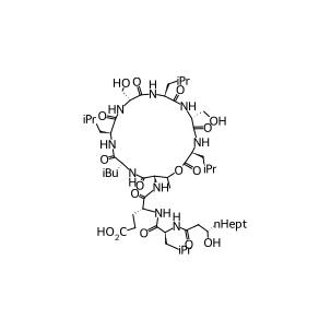 CCCCCCC[C@H](O)CC(=O)N[C@@H](CC(C)C)C(=O)N[C@H](CCC(=O)O)C(=O)N[C@H]1C(=O)N[C@H](C(C)CC)C(=O)N[C@@H](CC(C)C)C(=O)N[C@H](CO)C(=O)N[C@@H](CC(C)C)C(=O)N[C@H](CO)C(=O)N[C@@H](CC(C)C)C(=O)OC1C